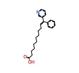 O=C(O)CCCCCCCCC/C=C(\c1ccccc1)c1cccnc1